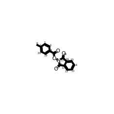 Cc1ccc(C(=O)ON2C(=O)c3ccccc3C2=O)cc1